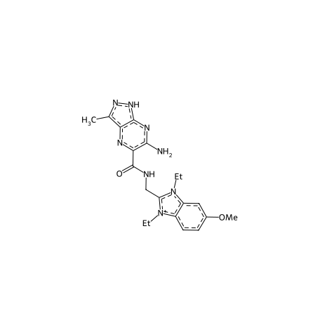 CCn1c(CNC(=O)c2nc3c(C)n[nH]c3nc2N)[n+](CC)c2ccc(OC)cc21